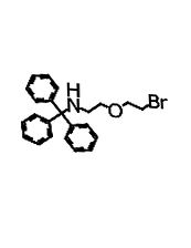 BrCCOCCNC(c1ccccc1)(c1ccccc1)c1ccccc1